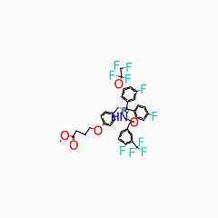 COC(=O)CCCOc1ccc(C[C@@](NC(=O)c2ccc(F)c(C(F)(F)F)c2)(c2ccc(F)cc2)c2cc(F)cc(OC(F)(F)C(F)F)c2)cc1